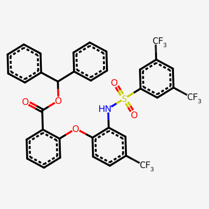 O=C(OC(c1ccccc1)c1ccccc1)c1ccccc1Oc1ccc(C(F)(F)F)cc1NS(=O)(=O)c1cc(C(F)(F)F)cc(C(F)(F)F)c1